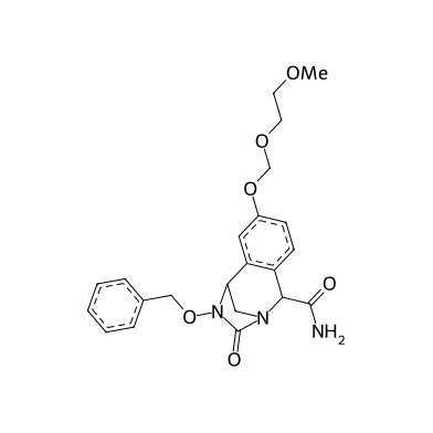 COCCOCOc1ccc2c(c1)C1CN(C(=O)N1OCc1ccccc1)C2C(N)=O